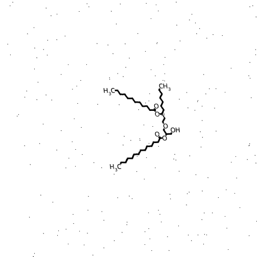 CCCCCCCCCCCCCC(=O)OC(CO)COCC[C@H](CCCCCCC)OC(=O)CCCCCCCCCCC